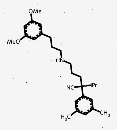 COc1cc(CCCNCCCC(C#N)(c2cc(C)cc(C)c2)C(C)C)cc(OC)c1